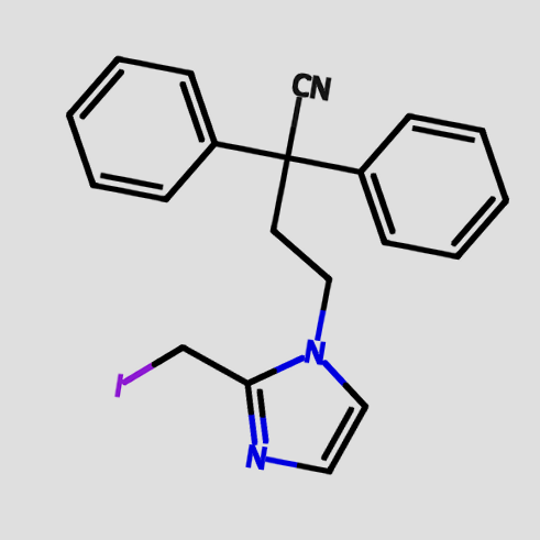 N#CC(CCn1ccnc1CI)(c1ccccc1)c1ccccc1